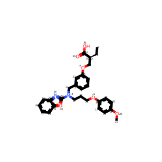 CC[C@@H](COc1cccc(CN(CCCOc2ccc(OC)cc2)c2nc3ccccc3o2)c1)C(=O)O